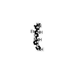 CCc1c(-c2cc(C)c3ncnn3c2)[nH]c2cc(-c3nc4ccc(N5CCNCC5)nc4[nH]3)sc12